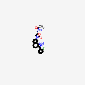 CC(=O)NC[C@H]1CN(c2ccc3c(c2)-c2[nH]nc(-c4ccccc4F)c2CCC3)C(=O)O1